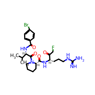 CC(C)[C@H](NC(=O)c1ccc(Br)cc1)C(=O)N1CCCC[C@H]1C(=O)N[C@@H](CCCNC(=N)N)C(=O)CF